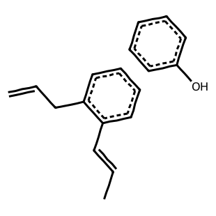 C=CCc1ccccc1C=CC.Oc1ccccc1